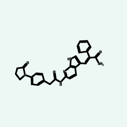 NC(=O)/C(=C/c1c[nH]c2nc(NC(=O)Cc3ccc(N4CCCC4=O)cc3)ccc12)c1ccccc1